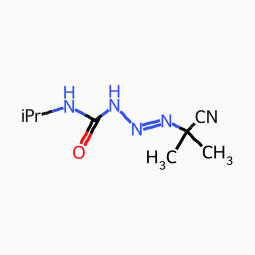 CC(C)NC(=O)NN=NC(C)(C)C#N